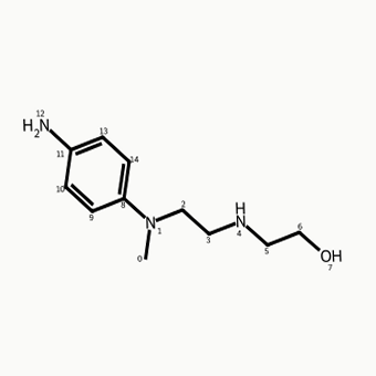 CN(CCNCCO)c1ccc(N)cc1